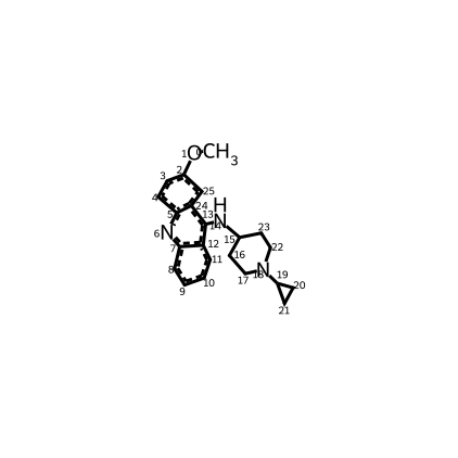 COc1ccc2nc3ccccc3c(NC3CCN(C4CC4)CC3)c2c1